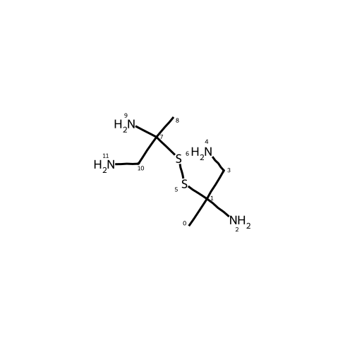 CC(N)(CN)SSC(C)(N)CN